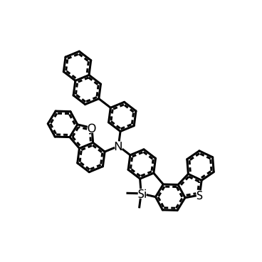 C[Si]1(C)c2cc(N(c3cccc(-c4ccc5ccccc5c4)c3)c3cccc4c3oc3ccccc34)ccc2-c2c1ccc1sc3ccccc3c21